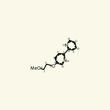 COCCOc1ccc(-c2ccccn2)nc1